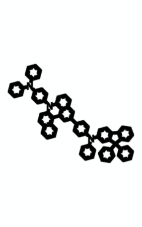 c1ccc(N(c2ccccc2)c2ccc(N3c4ccc5ccccc5c4-c4cc(-c5ccc(N(c6ccccc6)c6ccc7c(c6)C(c6ccccc6)(c6ccccc6)c6ccccc6-7)cc5)cc5cccc3c45)cc2)cc1